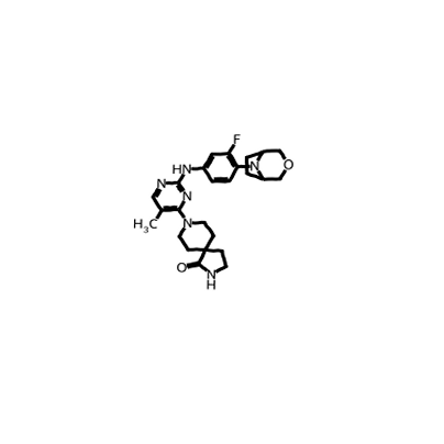 Cc1cnc(Nc2ccc(N3C4CCC3COC4)c(F)c2)nc1N1CCC2(CCNC2=O)CC1